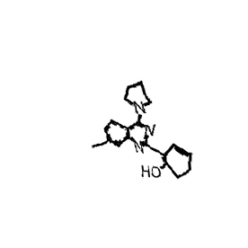 Cc1ccc2c(N3CCCC3)nc(C3=C(O)CCC=C3)nc2c1